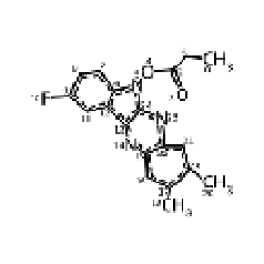 CCC(=O)On1c2ccc(F)cc2c2nc3cc(C)c(C)cc3nc21